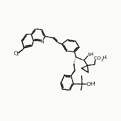 CC(C)(O)c1ccccc1CC[C@H](c1cccc(C=Cc2ccc3ccc(Cl)cc3n2)c1)C(S)C1(CC(=O)O)CC1